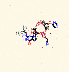 CC(C)C(=O)Nc1nc2c(ccn2[C@@H]2O[C@@H]3COP(=O)(S)O[C@H]4C[C@H](Oc5ccncn5)C[C@@H]4COP(=S)(OCCC#N)O[C@@H]2[C@@H]3O)c(=O)[nH]1